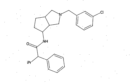 CC(C)C(C(=O)NC1CCC2CN(Cc3cccc(Cl)c3)CC21)c1ccccc1